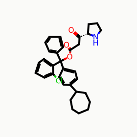 O=C(CC(=O)[C@@H]1CCCN1)OC(c1ccccc1)(c1ccc(C2CCCCCC2)cc1)c1ccccc1Cl